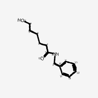 O=C(CCCCCO)NCc1ccccc1